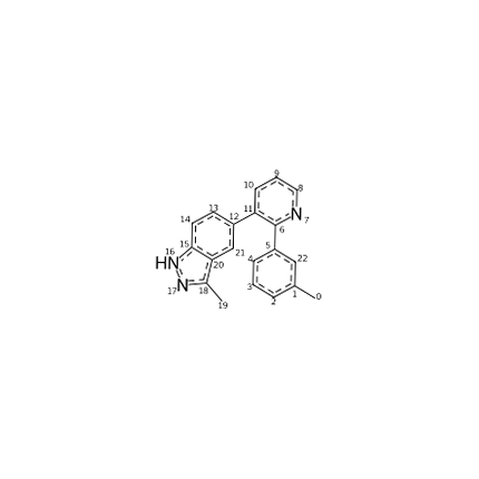 Cc1cccc(-c2ncccc2-c2ccc3[nH]nc(C)c3c2)c1